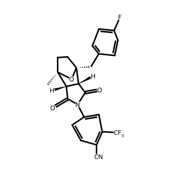 C[C@]12CC[C@](Cc3ccc(F)cc3)(O1)[C@@H]1C(=O)N(c3ccc(C#N)c(C(F)(F)F)c3)C(=O)[C@@H]12